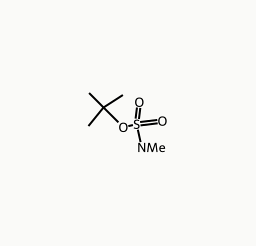 CNS(=O)(=O)OC(C)(C)C